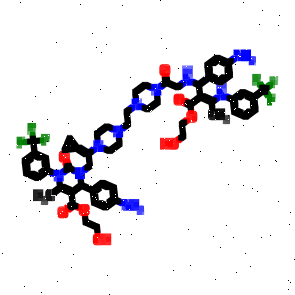 CC1=C(C(=O)OCCO)C(c2ccc(N)cc2)N(CC(=C2CC2)N2CCN(CCN3CCN(C(=O)CNC(/C(C(=O)OCCO)=C(/C)Nc4cccc(C(F)(F)F)c4)c4ccc(N)cc4)CC3)CC2)C(=O)N1c1cccc(C(F)(F)F)c1